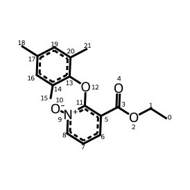 CCOC(=O)c1ccc[n+]([O-])c1Oc1c(C)cc(C)cc1C